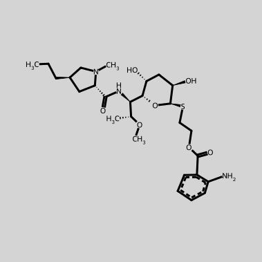 CCC[C@@H]1C[C@@H](C(=O)N[C@@H]([C@H]2O[C@H](SCCOC(=O)c3ccccc3N)[C@H](O)C[C@H]2O)[C@@H](C)OC)N(C)C1